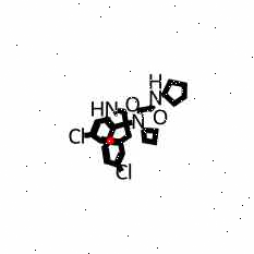 O=C(CN(C1CCC1)C1(Cc2cccc(Cl)c2)C(=O)Nc2cc(Cl)ccc21)NC1CCCC1